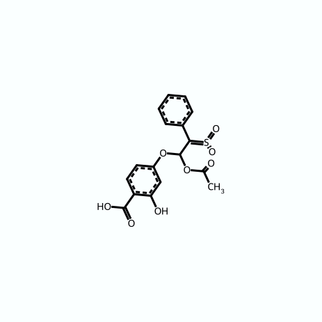 CC(=O)OC(Oc1ccc(C(=O)O)c(O)c1)C(c1ccccc1)=S(=O)=O